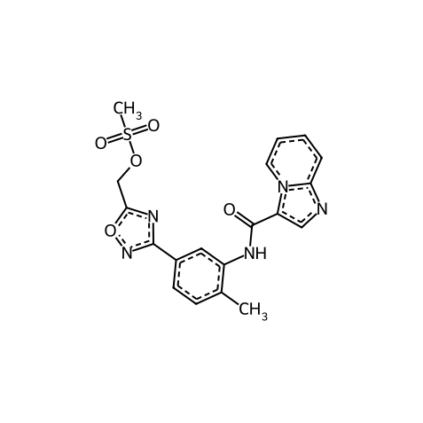 Cc1ccc(-c2noc(COS(C)(=O)=O)n2)cc1NC(=O)c1cnc2ccccn12